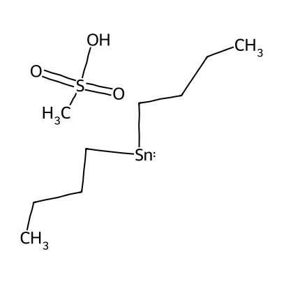 CCC[CH2][Sn][CH2]CCC.CS(=O)(=O)O